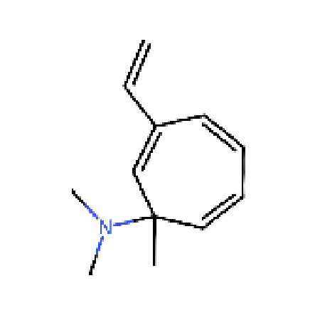 C=CC1=CC(C)(N(C)C)C=CC=C1